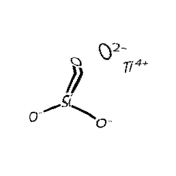 O=[Si]([O-])[O-].[O-2].[Ti+4]